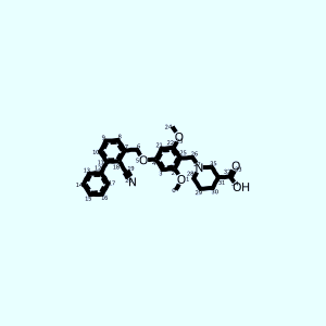 COc1cc(OCc2cccc(-c3ccccc3)c2C#N)cc(OC)c1CN1CCCC(C(=O)O)C1